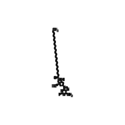 C#C[C@]1(COC(=O)CCCCCCCCCCCCCCCCCCCCCCC)C[C@@H](n2cnc3c(N)nc(F)nc32)C[C@@H]1O